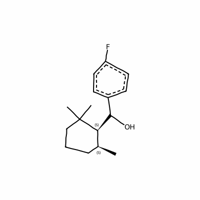 C[C@H]1CCCC(C)(C)[C@H]1C(O)c1ccc(F)cc1